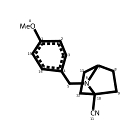 COc1ccc(CN2C3CCC2(C#N)CC3)cc1